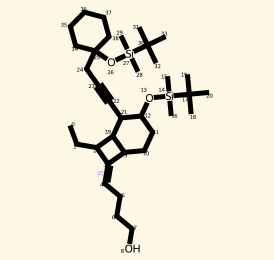 CCC1/C(=C/CCCO)C2CCC(O[Si](C)(C)C(C)(C)C)C(C#CCC3(O[Si](C)(C)C(C)(C)C)CCCCC3)C12